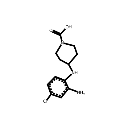 Nc1cc(Cl)ccc1NC1CCN(C(=O)O)CC1